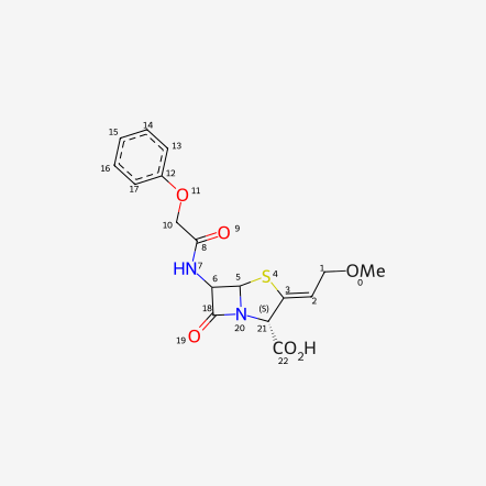 COCC=C1SC2C(NC(=O)COc3ccccc3)C(=O)N2[C@H]1C(=O)O